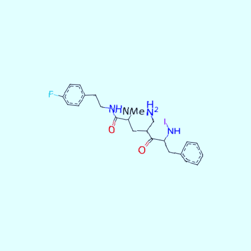 CNC(CC(CN)C(=O)C(Cc1ccccc1)NI)C(=O)NCCc1ccc(F)cc1